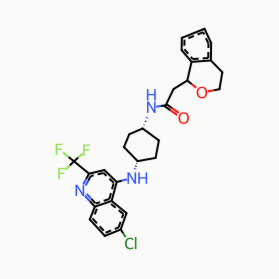 O=C(CC1OCCc2ccccc21)N[C@H]1CC[C@@H](Nc2cc(C(F)(F)F)nc3ccc(Cl)cc23)CC1